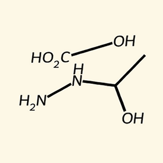 CC(O)NN.O=C(O)O